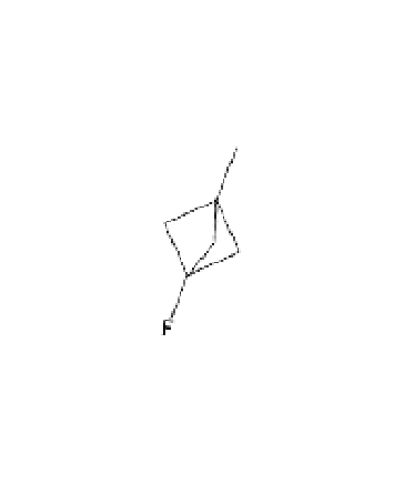 CC12CC(F)(C1)C2